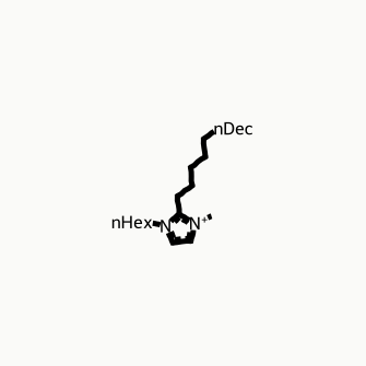 CCCCCCCCCCCCCCCc1n(CCCCCC)cc[n+]1C